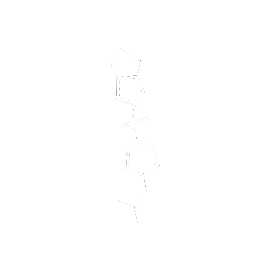 O=S(=O)(c1ccc(OC(F)F)cc1)n1cc2c(n1)CNC2